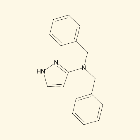 c1ccc(CN(Cc2ccccc2)c2cc[nH]n2)cc1